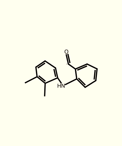 Cc1cccc(Nc2ccccc2[C]=O)c1C